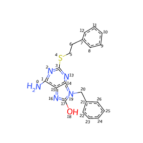 Nc1nc(SCCc2ccccc2)nc2c1nc(O)n2Cc1ccccc1